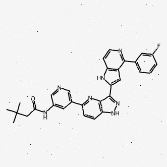 CC(C)(C)CC(=O)Nc1cncc(-c2ccc3[nH]nc(-c4cc5c(-c6cccc(F)c6)nccc5[nH]4)c3n2)c1